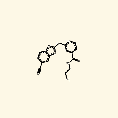 N#Cc1ccc2nc(Nc3cc(C(=O)NCCN)ccn3)sc2c1